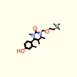 CC1=C(c2ccc(O)cc2C)N(C)C(=O)N(COCC[Si](C)(C)C)C1C